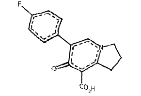 O=C(O)c1c2n(cc(-c3ccc(F)cc3)c1=O)CCC2